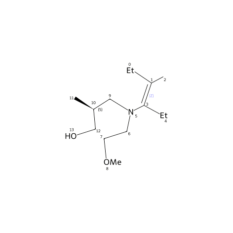 CC/C(C)=C(/CC)N(CCOC)C[C@H](C)CO